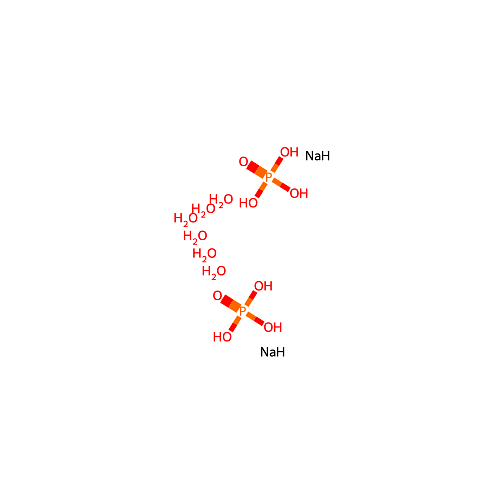 O.O.O.O.O.O.O=P(O)(O)O.O=P(O)(O)O.[NaH].[NaH]